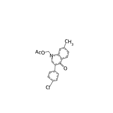 CC(=O)OCn1cc(-c2ccc(Cl)cc2)c(=O)c2ccc(C)cc21